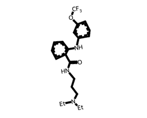 CCN(CC)CCCNC(=O)c1ccccc1Nc1cccc(OC(F)(F)F)c1